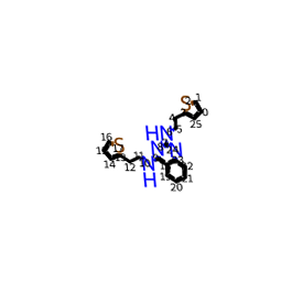 c1csc(CCNc2nc(NCCc3cccs3)c3ccccc3n2)c1